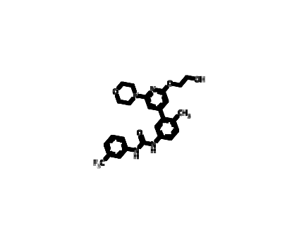 Cc1ccc(NC(=O)Nc2cccc(C(F)(F)F)c2)cc1-c1cc(OCCO)nc(N2CCOCC2)c1